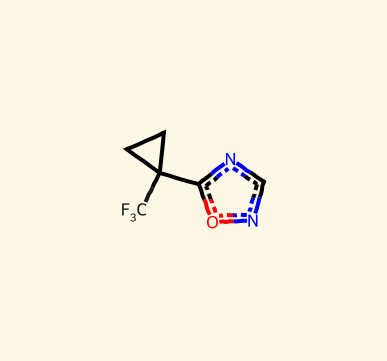 FC(F)(F)C1(c2ncno2)CC1